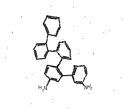 Nc1cccc(-c2cc(N)ccc2-c2ccccc2-c2ccccc2-c2ccccc2)c1